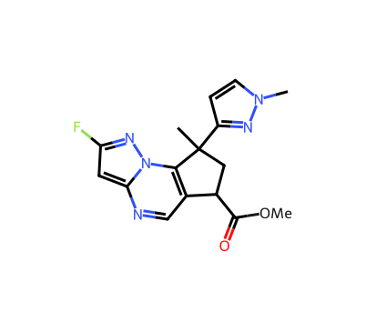 COC(=O)C1CC(C)(c2ccn(C)n2)c2c1cnc1cc(F)nn21